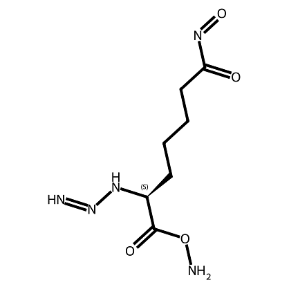 N=NN[C@@H](CCCCC(=O)N=O)C(=O)ON